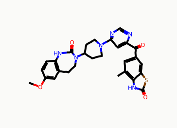 COc1ccc2c(c1)CCN(C1CCN(c3cc(C(=O)c4cc(C)c5[nH]c(=O)sc5c4)ncn3)CC1)C(=O)N2